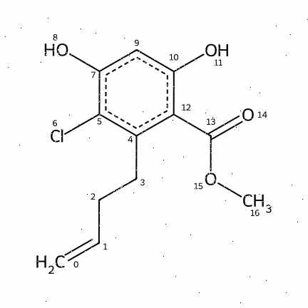 C=CCCc1c(Cl)c(O)cc(O)c1C(=O)OC